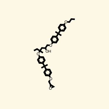 CCCOc1ccc(C(C)(C)c2ccc(OCC(O)CC(C)(CC)Oc3ccc(C(C)(C)c4ccc(OCC5CO5)cc4)cc3)cc2)cc1